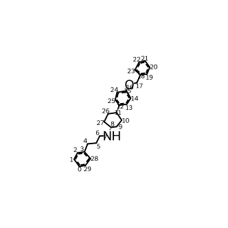 c1ccc(CCCN[C@H]2CC[C@H](c3ccc(OCc4ccccc4)cc3)CC2)cc1